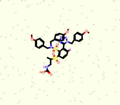 COc1ccc(CN(Cc2ccc(OC)cc2)S(=O)(=O)c2c(S(=O)(=O)C(C)CNC(=O)O)ccc(I)c2-c2nnnn2Cc2ccc(OC)cc2)cc1